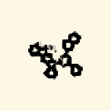 CC1(C)c2ccccc2-c2cc3c4ccccc4n(-c4nc(-c5ccccc5)cc(-c5ccc6ccccc6c5)n4)c3cc21